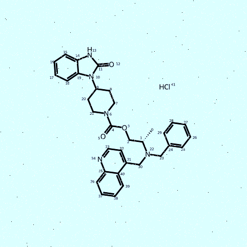 C[C@@H](COC(=O)N1CCC(n2c(=O)[nH]c3ccccc32)CC1)N(Cc1ccccc1)Cc1ccnc2ccccc12.Cl